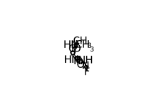 CC(C)NC(=O)O[C@@H]1CC[C@H](c2cc(NC(=O)CN3CC(F)C3)n[nH]2)C1